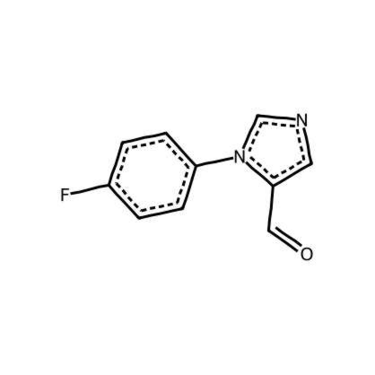 O=Cc1cncn1-c1ccc(F)cc1